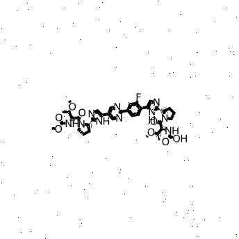 COC(=O)N[C@H](C(=O)N1CCC[C@H]1c1ncc(-c2cnc(-c3ccc(-c4cnc([C@@H]5CCCN5C(=O)[C@@H](NC(=O)O)[C@@H](C)OC)[nH]4)c(F)c3)nc2)[nH]1)C(C)OC